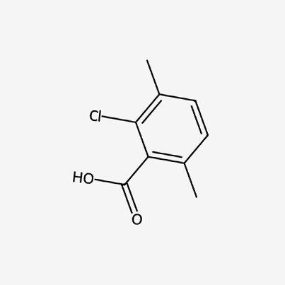 Cc1ccc(C)c(C(=O)O)c1Cl